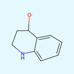 [O]C1CCNc2ccccc21